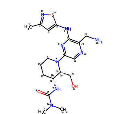 Cc1cc(Nc2nc(N3CCC[C@@H](NC(=O)N(C)C)[C@H]3CO)cnc2CN)sn1